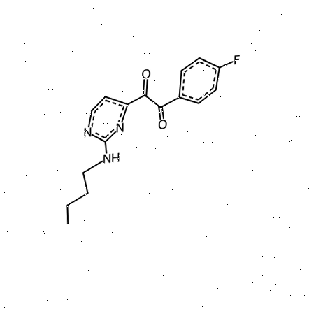 CCCCNc1nccc(C(=O)C(=O)c2ccc(F)cc2)n1